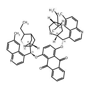 CCC1C[N@@]2CCC1C[C@@H]2[C@@H](Oc1ccc(O[C@@H](c2ccnc3ccc(C)cc23)[C@H]2C[C@H]3CCN2C[C@@H]3CC)c2c1C(=O)c1ccccc1C2=O)c1ccnc2ccc(C)cc12